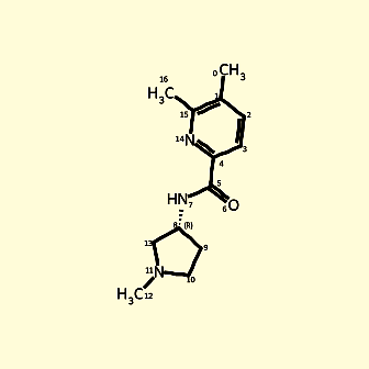 Cc1ccc(C(=O)N[C@@H]2CCN(C)C2)nc1C